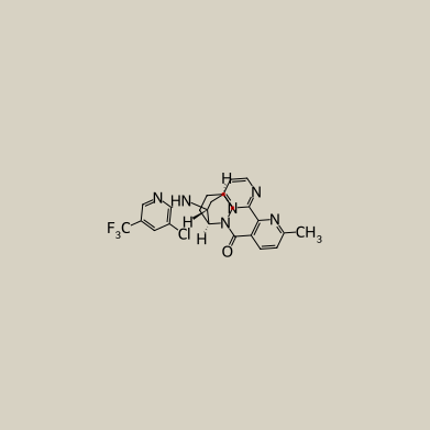 Cc1ccc(C(=O)N2C[C@@H]3CC[C@H]2[C@H](Nc2ncc(C(F)(F)F)cc2Cl)C3)c(-c2ncccn2)n1